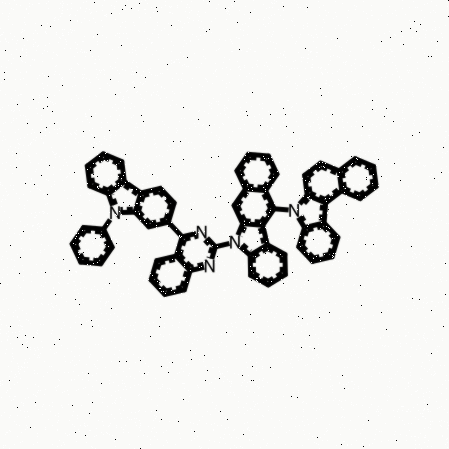 c1ccc(-n2c3ccccc3c3ccc(-c4nc(-n5c6ccccc6c6c(-n7c8ccccc8c8c9ccccc9ccc87)c7ccccc7cc65)nc5ccccc45)cc32)cc1